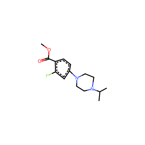 COC(=O)c1ccc(N2CCN(C(C)C)CC2)cc1F